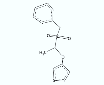 CC(Oc1ccsc1)S(=O)(=O)Cc1ccccc1